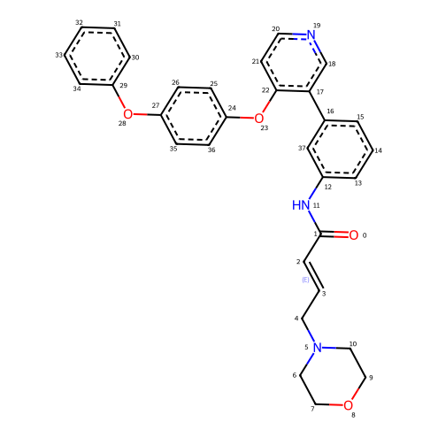 O=C(/C=C/CN1CCOCC1)Nc1cccc(-c2cnccc2Oc2ccc(Oc3ccccc3)cc2)c1